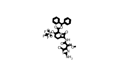 CON=C(C(=O)NC1C(=O)N2C(C(=O)OC(c3ccccc3)c3ccccc3)=C(OS(=O)(=O)C(F)(F)F)CCC12)c1nc(N)sc1Cl